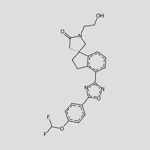 O=C1C[C@]2(CCc3c(-c4noc(-c5ccc(OC(F)F)cc5)n4)cccc32)CN1CCO